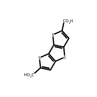 O=C(O)c1cc2sc3cc(C(=O)O)sc3c2s1